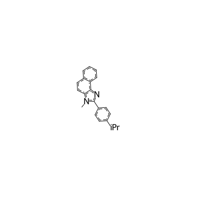 CC(C)c1ccc(-c2nc3c4ccccc4ccc3n2C)cc1